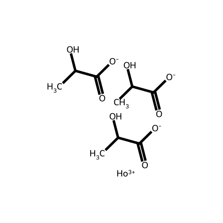 CC(O)C(=O)[O-].CC(O)C(=O)[O-].CC(O)C(=O)[O-].[Ho+3]